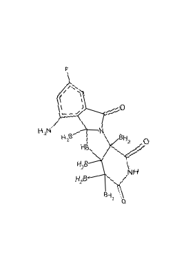 BC12BC3(B)C(B)(B)C(=O)NC(=O)C3(B)N1C(=O)c1cc(F)cc(N)c12